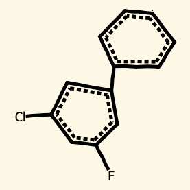 Fc1cc(Cl)cc(-c2cc[c]cc2)c1